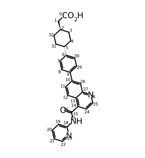 O=C(O)C[C@H]1CC[C@H](c2ccc(-c3ccc4c(C(=O)Nc5ccccn5)ccnc4c3)cc2)CC1